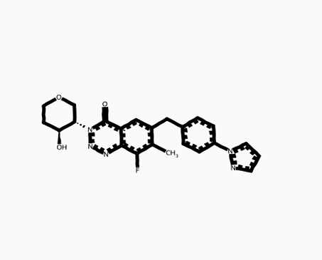 Cc1c(Cc2ccc(-n3cccn3)cc2)cc2c(=O)n([C@H]3COCC[C@@H]3O)nnc2c1F